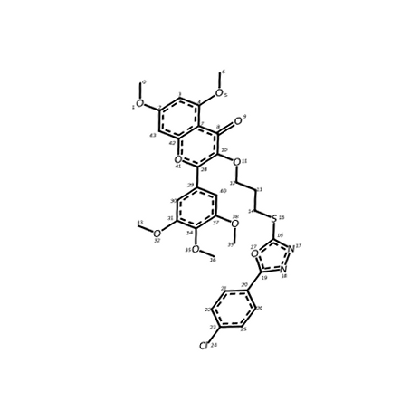 COc1cc(OC)c2c(=O)c(OCCCSc3nnc(-c4ccc(Cl)cc4)o3)c(-c3cc(OC)c(OC)c(OC)c3)oc2c1